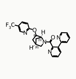 O=C(c1ncccc1-c1ccccn1)N1C[C@H]2C[C@@H](Oc3ccc(C(F)(F)F)cn3)[C@@H]1C2